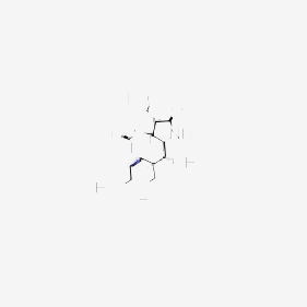 CC/C=C\[C@H](CC)[C@H](O)[C@@H]1NC(=O)[C@H](CC)[C@]1(C)OC=O